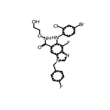 O=C(NOCCO)c1cc2c(ncn2Cc2ccc(F)cc2)c(F)c1Nc1ccc(Br)cc1Cl